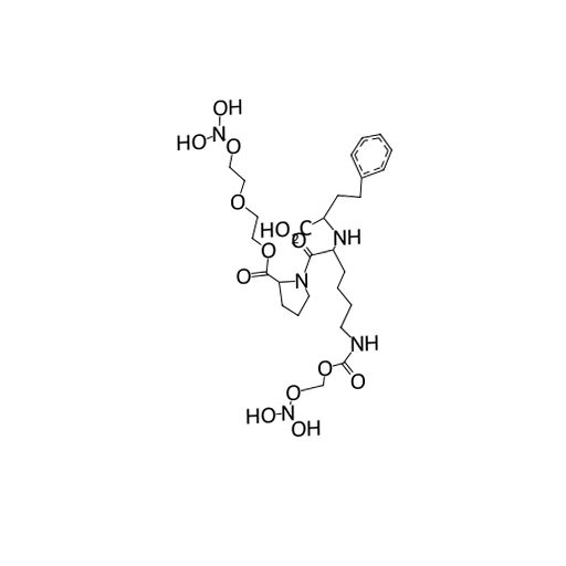 O=C(NCCCCC(NC(CCc1ccccc1)C(=O)O)C(=O)N1CCCC1C(=O)OCCOCCON(O)O)OCON(O)O